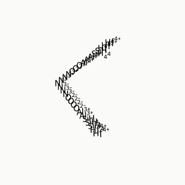 [Al+3].[Al+3].[Al+3].[Al+3].[Al+3].[Hf+4].[Hf+4].[Hf+4].[Hf+4].[Hf+4].[N-3].[N-3].[N-3].[N-3].[N-3].[N-3].[N-3].[O-2].[O-2].[O-2].[O-2].[O-2].[O-2].[O-2].[SiH4].[SiH4].[SiH4].[SiH4].[SiH4]